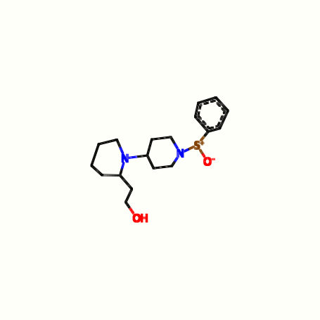 [O-][S+](c1ccccc1)N1CCC(N2CCCCC2CCO)CC1